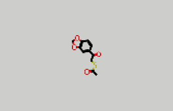 CC(=O)SCC(=O)c1ccc2c(c1)OCO2